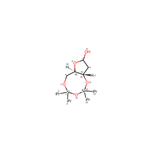 CC(C)[Si]1(C(C)C)OC[C@H]2OC(O)C[C@@H]2O[Si](C(C)C)(C(C)C)O1